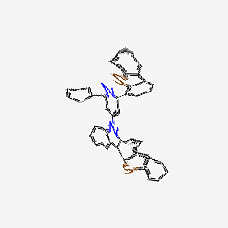 c1ccc(-c2cc(-n3c4ccccc4c4c5sc6ccccc6c5ccc43)cc(-c3cccc4c3sc3ccccc34)n2)cc1